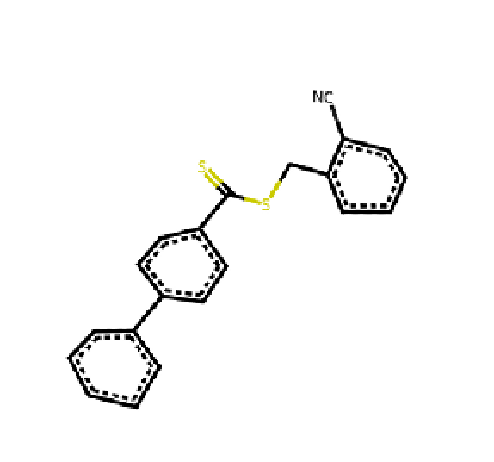 N#Cc1ccccc1CSC(=S)c1ccc(-c2ccccc2)cc1